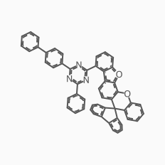 c1ccc(-c2ccc(-c3nc(-c4ccccc4)nc(-c4cccc5oc6c7c(ccc6c45)C4(c5ccccc5O7)c5ccccc5-c5ccccc54)n3)cc2)cc1